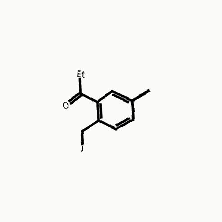 CCC(=O)c1cc(C)ccc1CI